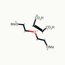 COCCOCCOC.O=C(O)/C=C\C(=O)O